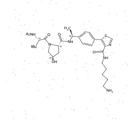 CC(=O)N[C@H](C(=O)N1C[C@H](O)C[C@H]1C(=O)N[C@@H](C)c1ccc(-c2scnc2C(=O)NCCCCCN)cc1)C(C)(C)C